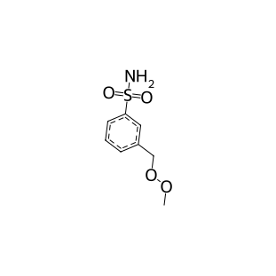 COOCc1cccc(S(N)(=O)=O)c1